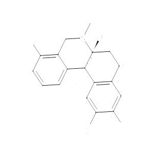 CN1Cc2c(F)cccc2[C@@H]2c3cc(O)c(O)cc3CC[C@H]21